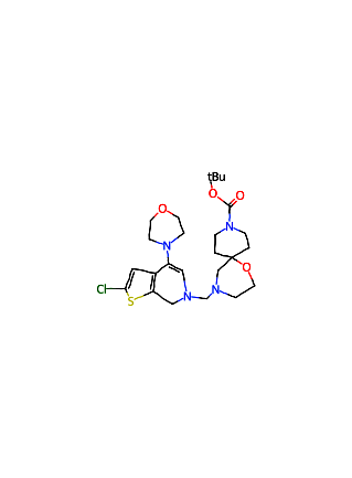 CC(C)(C)OC(=O)N1CCC2(CC1)CN(CN1C=C(N3CCOCC3)c3cc(Cl)sc3C1)CCO2